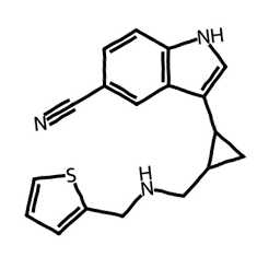 N#Cc1ccc2[nH]cc(C3CC3CNCc3cccs3)c2c1